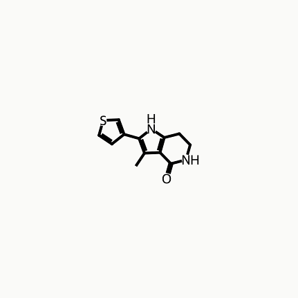 Cc1c(-c2ccsc2)[nH]c2c1C(=O)NCC2